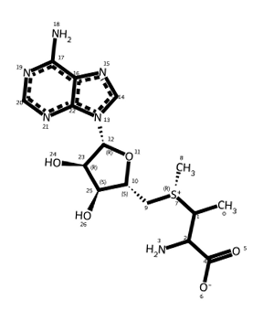 CC(C(N)C(=O)[O-])[S@@+](C)C[C@H]1O[C@@H](n2cnc3c(N)ncnc32)[C@H](O)[C@@H]1O